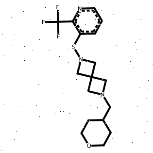 FC(F)(F)c1ncccc1SN1CC2(CN(CC3CCOCC3)C2)C1